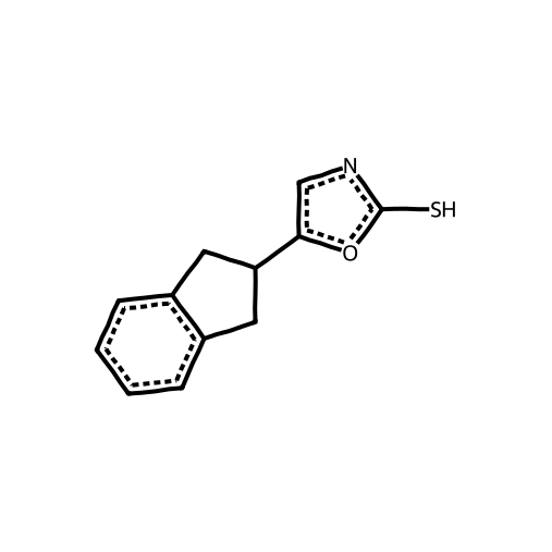 Sc1ncc(C2Cc3ccccc3C2)o1